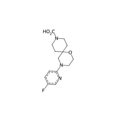 O=C(O)N1CCC2(CC1)CN(c1ccc(F)cn1)CCO2